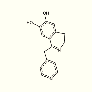 Oc1cc2c(cc1O)C(Cc1ccncc1)=NCC2